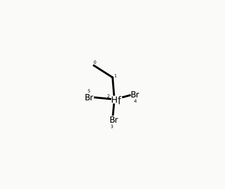 C[CH2][Hf]([Br])([Br])[Br]